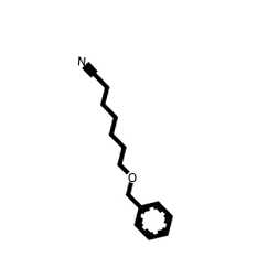 N#CCCCCCCOCc1ccccc1